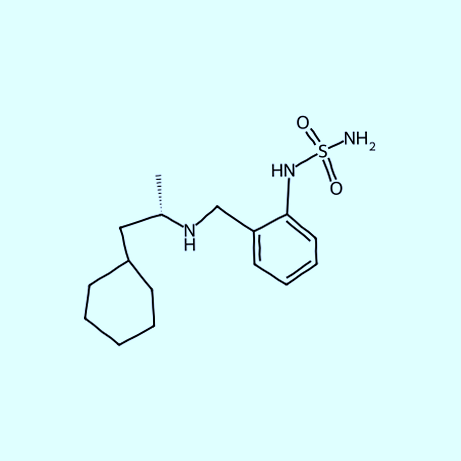 C[C@@H](CC1CCCCC1)NCc1ccccc1NS(N)(=O)=O